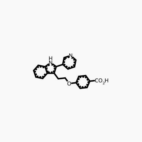 O=C(O)c1ccc(OCCc2c(-c3cccnc3)[nH]c3ccccc23)cc1